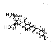 CC(C)(CO)n1cc(C(=O)c2cncc(NC(=O)Cc3ccc(Br)cn3)c2)c2cnc(N)nc21